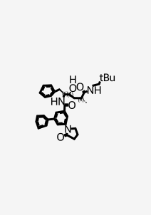 C[C@H](C[C@H](O)[C@H](Cc1ccccc1)NC(=O)c1cc(-c2ccccc2)cc(N2CCCC2=O)c1)C(=O)NCCC(C)(C)C